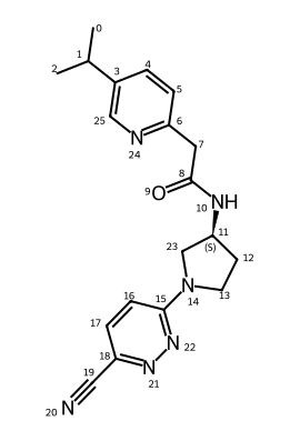 CC(C)c1ccc(CC(=O)N[C@H]2CCN(c3ccc(C#N)nn3)C2)nc1